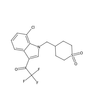 O=C(c1cn(CC2CCS(=O)(=O)CC2)c2c(Cl)cccc12)C(F)(F)F